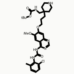 COc1cc2c(NC(=O)Nc3c(C)cccc3Cl)ncnc2cc1OCCCC1(CNC(=O)OC(C)(C)C)CCNCC1